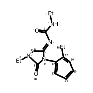 CCNC(=O)/N=c1\sn(CC)c(=O)n1-c1ccccc1CC